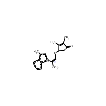 CC1=C(C)C(O/C=C(/C(=O)O)n2cc(C)c3ccccc32)OC1=O